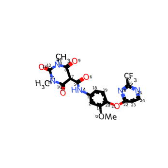 COc1cc(NC(=O)C2C(=O)N(C)C(=O)N(C)C2=O)ccc1Oc1ccnc(C(F)(F)F)n1